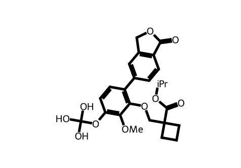 COc1c(OC(O)(O)O)ccc(-c2ccc3c(c2)COC3=O)c1OCC1(C(=O)OC(C)C)CCC1